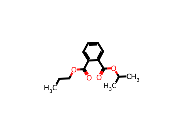 CCCOC(=O)c1ccccc1C(=O)OC(C)C